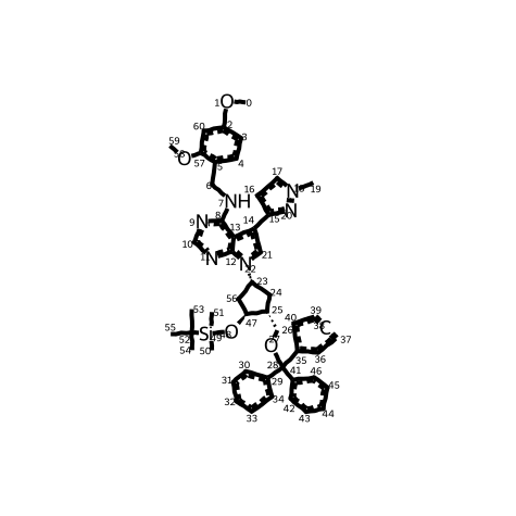 COc1ccc(CNc2ncnc3c2c(-c2ccn(C)n2)cn3[C@@H]2C[C@H](COC(c3ccccc3)(c3ccccc3)c3ccccc3)[C@@H](O[Si](C)(C)C(C)(C)C)C2)c(OC)c1